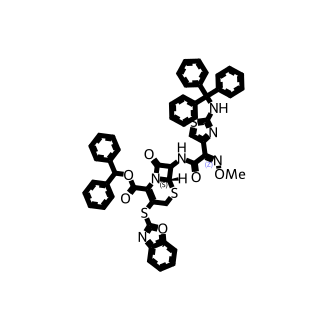 CO/N=C(\C(=O)NC1C(=O)N2C(C(=O)OC(c3ccccc3)c3ccccc3)=C(Sc3nc4ccccc4o3)CS[C@@H]12)c1csc(NC(c2ccccc2)(c2ccccc2)c2ccccc2)n1